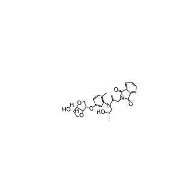 C=C(CN1C(=O)c2ccccc2C1=O)N(C[C@H](C)O)c1cc(O[C@H]2CO[C@H]3[C@@H]2OC[C@@H]3O)ccc1C